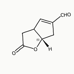 O=CC1=CC2CC(=O)O[C@H]2C1